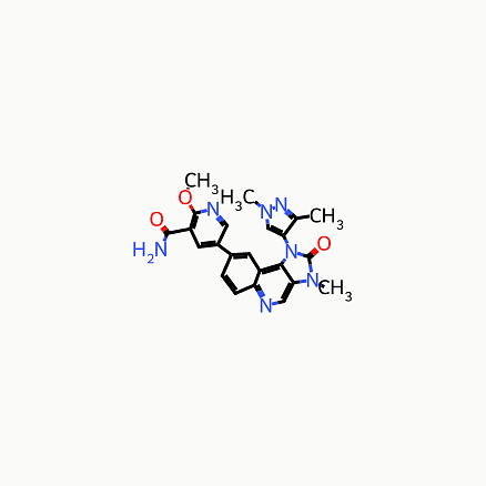 COc1ncc(-c2ccc3ncc4c(c3c2)n(-c2cn(C)nc2C)c(=O)n4C)cc1C(N)=O